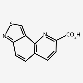 O=C(O)c1ccc2ccc3nscc3c2n1